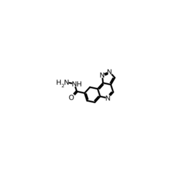 NNC(=O)C1=CC=c2ncc3c(c2C1)N=NC=3